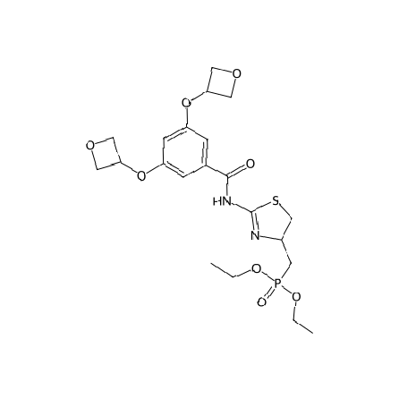 CCOP(=O)(CC1CSC(NC(=O)c2cc(OC3COC3)cc(OC3COC3)c2)=N1)OCC